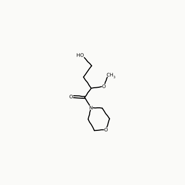 COC(CCO)C(=O)N1CCOCC1